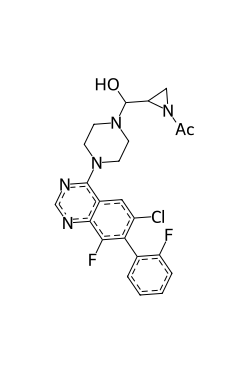 CC(=O)N1CC1C(O)N1CCN(c2ncnc3c(F)c(-c4ccccc4F)c(Cl)cc23)CC1